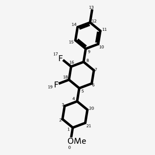 COC1CCC(C2CCC(c3ccc(C)cc3)C(F)C2F)CC1